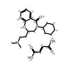 CN(C)CCC1CN(C2CCCCC2)C(=O)c2cccnc2O1.O=C(O)C=CC(=O)O